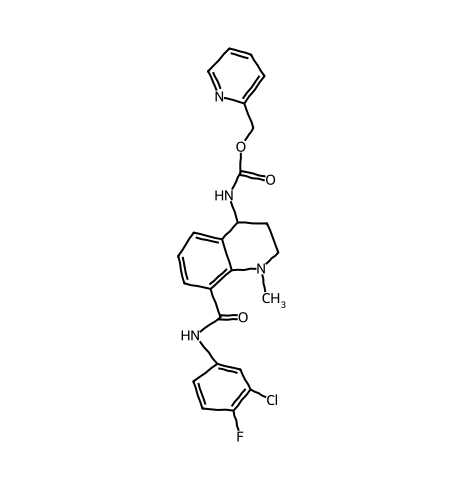 CN1CCC(NC(=O)OCc2ccccn2)c2cccc(C(=O)Nc3ccc(F)c(Cl)c3)c21